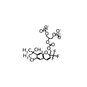 CC(C)(C)c1cc2c(cc1Cl)C=CC(COC(=O)OC(CO[N+](=O)[O-])CO[N+](=O)[O-])(C(F)(F)F)O2